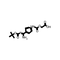 CC(C)(C)OC(=O)/N=C(\N)c1ccc(NC(=O)OCC(=O)O)cc1